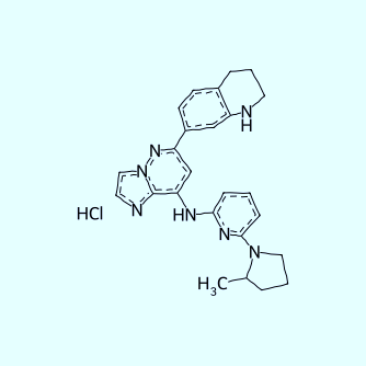 CC1CCCN1c1cccc(Nc2cc(-c3ccc4c(c3)NCCC4)nn3ccnc23)n1.Cl